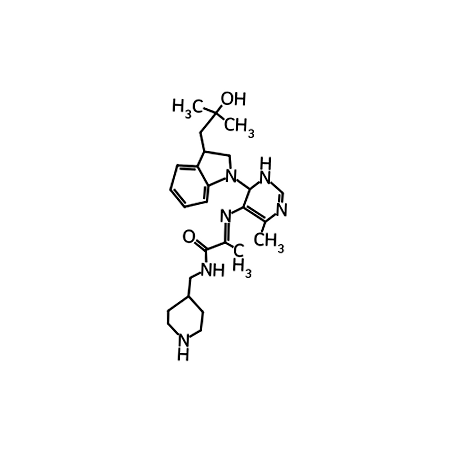 CC1=C(/N=C(\C)C(=O)NCC2CCNCC2)C(N2CC(CC(C)(C)O)c3ccccc32)NC=N1